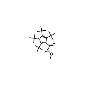 CON(C)C(=O)c1c(C(C)(C)C)c(C(C)(C)C)n(C(C)(C)C)c1C(C)(C)C